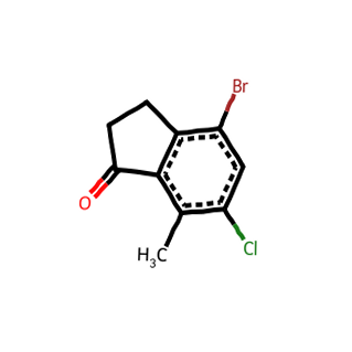 Cc1c(Cl)cc(Br)c2c1C(=O)CC2